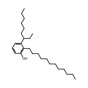 CCCCCCCCCCCCc1c(O)cccc1C(CC)CCCCCC